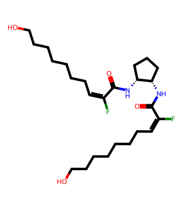 O=C(N[C@H]1CCC[C@H]1NC(=O)/C(F)=C\CCCCCCCO)/C(F)=C\CCCCCCCO